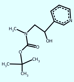 CN(CC(O)c1cccnc1)C(=O)OC(C)(C)C